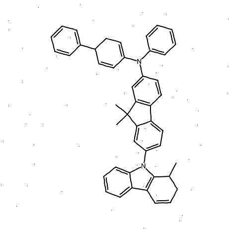 CC1CC=Cc2c1n(-c1ccc3c(c1)C(C)(C)c1cc(N(C4=CCC(c5ccccc5)C=C4)c4ccccc4)ccc1-3)c1ccccc21